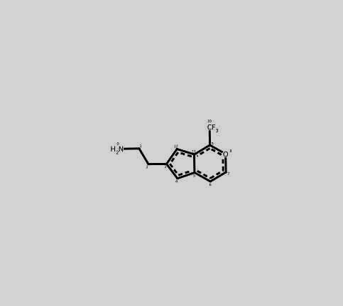 NCCc1cc2ccoc(C(F)(F)F)c-2c1